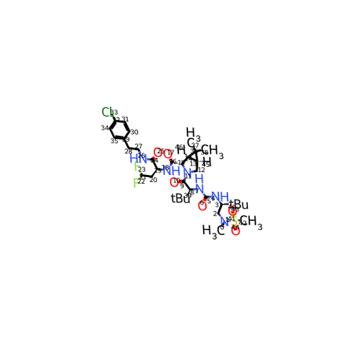 CN(C[C@@H](NC(=O)N[C@H](C(=O)N1C[C@H]2[C@@H]([C@H]1C(=O)N[C@@H](CC(F)F)C(=O)NCCc1ccc(Cl)cc1)C2(C)C)C(C)(C)C)C(C)(C)C)S(C)(=O)=O